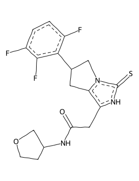 O=C(Cc1[nH]c(=S)n2c1CC(c1c(F)ccc(F)c1F)C2)NC1CCOC1